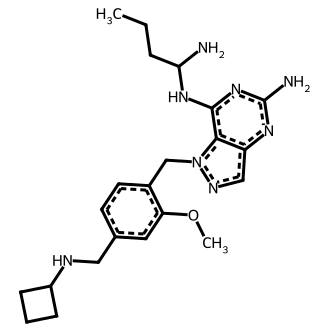 CCCC(N)Nc1nc(N)nc2cnn(Cc3ccc(CNC4CCC4)cc3OC)c12